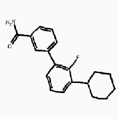 NC(=O)c1cccc(-c2cccc(C3CCCCC3)c2F)c1